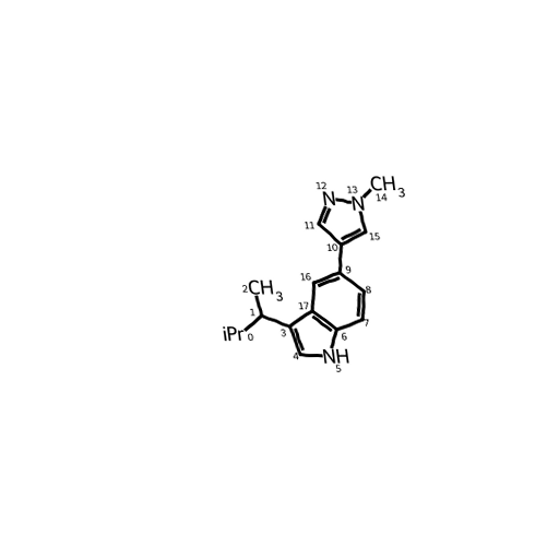 CC(C)C(C)c1c[nH]c2ccc(-c3cnn(C)c3)cc12